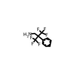 NCC(c1ccccc1)(C(F)(F)F)C(F)(F)F